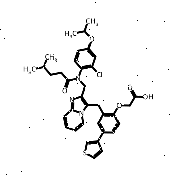 CC(C)CCC(=O)N(Cc1nc2ccccn2c1Cc1cc(-c2ccsc2)ccc1OCC(=O)O)c1ccc(OC(C)C)cc1Cl